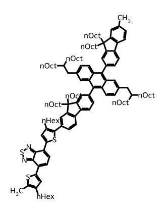 CCCCCCCCC(CCCCCCCC)Cc1ccc2c(-c3ccc4c(c3)C(CCCCCCCC)(CCCCCCCC)c3cc(-c5sc(-c6ccc(-c7cc(CCCCCC)c(C)s7)c7nsnc67)cc5CCCCCC)ccc3-4)c3cc(CC(CCCCCCCC)CCCCCCCC)ccc3c(-c3ccc4c(c3)C(CCCCCCCC)(CCCCCCCC)c3cc(C)ccc3-4)c2c1